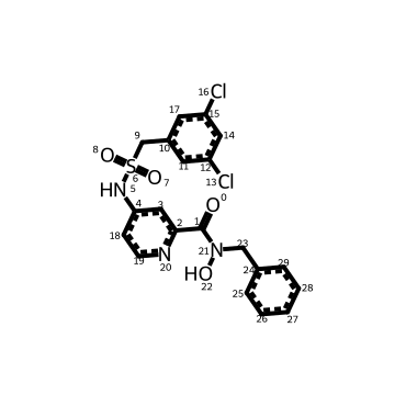 O=C(c1cc(NS(=O)(=O)Cc2cc(Cl)cc(Cl)c2)ccn1)N(O)Cc1ccccc1